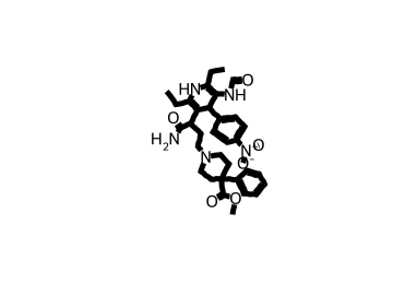 CCC1=C(NC=O)C(c2ccc([N+](=O)[O-])cc2)C(C(CCN2CCC(C(=O)OC)(c3ccccc3)CC2)C(N)=O)=C(CC)N1